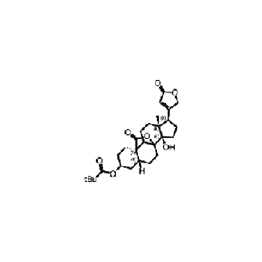 CC(C)(C)C(=O)OC1CC[C@@]23C(=O)OC4(CC[C@@H]2C1)C3CC[C@]1(C)[C@@H](C2=CC(=O)OC2)CC[C@]41O